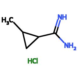 CC1CC1C(=N)N.Cl